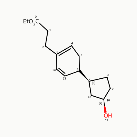 CCOC(=O)CCC1=CCC([C@H]2CC[C@@H](O)C2)C=C1